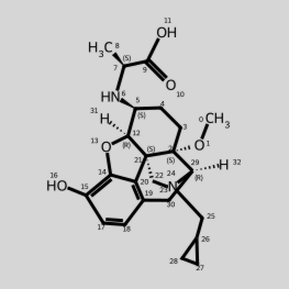 CO[C@@]12CC[C@H](N[C@@H](C)C(=O)O)[C@@H]3Oc4c(O)ccc5c4[C@@]31CCN(CC1CC1)[C@@H]2C5